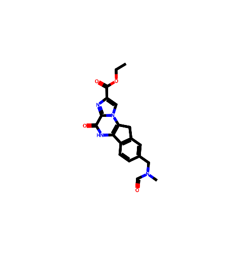 CCOC(=O)c1cn2c3c([nH]c(=O)c2n1)-c1ccc(CN(C)C=O)cc1C3